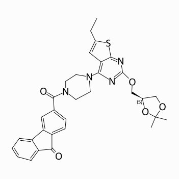 CCc1cc2c(N3CCN(C(=O)c4ccc5c(c4)-c4ccccc4C5=O)CC3)nc(OC[C@H]3COC(C)(C)O3)nc2s1